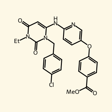 CCn1c(=O)cc(Nc2ccc(Oc3ccc(C(=O)OC)cc3)cn2)n(Cc2ccc(Cl)cc2)c1=O